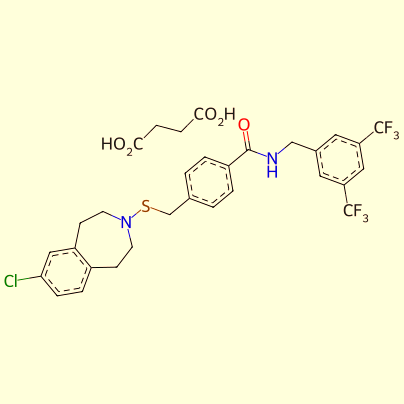 O=C(NCc1cc(C(F)(F)F)cc(C(F)(F)F)c1)c1ccc(CSN2CCc3ccc(Cl)cc3CC2)cc1.O=C(O)CCC(=O)O